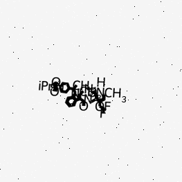 Cc1cc(OC(F)F)c(CNC(=O)c2c(C)n(C(C)C3CCN(S(=O)(=O)C(C)C)CC3)c3ccccc23)c(=O)[nH]1